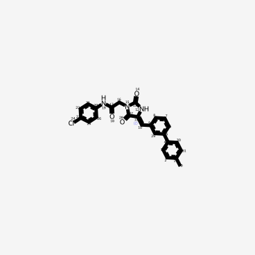 Cc1ccc(-c2cccc(/C=C3\NC(=O)N(CC(=O)Nc4ccc(Cl)cc4)C3=O)c2)cc1